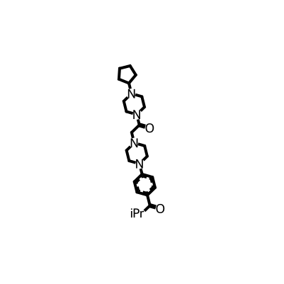 CC(C)C(=O)c1ccc(N2CCN(CC(=O)N3CCN(C4CCCC4)CC3)CC2)cc1